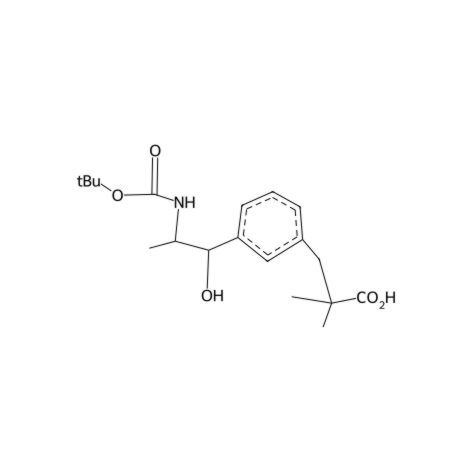 CC(NC(=O)OC(C)(C)C)C(O)c1cccc(CC(C)(C)C(=O)O)c1